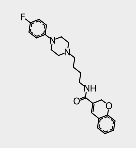 O=C(NCCCCN1CCN(c2ccc(F)cc2)CC1)C1=Cc2ccccc2OC1